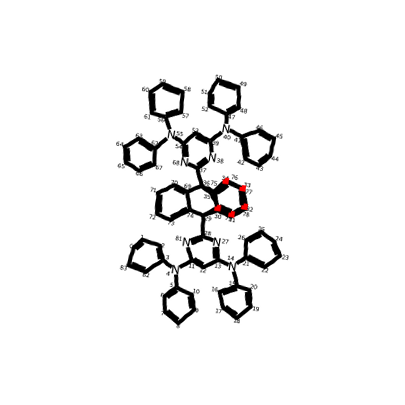 c1ccc(N(c2ccccc2)c2cc(N(c3ccccc3)c3ccccc3)nc(C34c5ccccc5C(c5nc(N(c6ccccc6)c6ccccc6)cc(N(c6ccccc6)c6ccccc6)n5)(c5ccccc53)c3ccccc34)n2)cc1